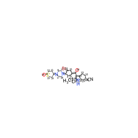 CC1(C)c2cc(N3CCN(C4CC[S+]([O-])CC4)CC3)c(Br)cc2C(=O)c2c1[nH]c1cc(C#N)ccc21